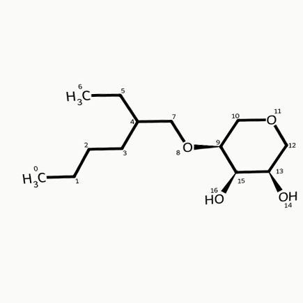 CCCCC(CC)CO[C@H]1COC[C@@H](O)[C@H]1O